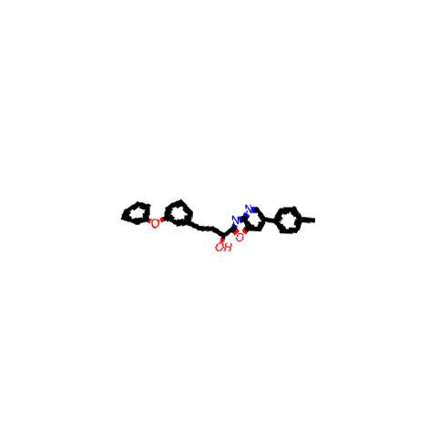 Cc1ccc(-c2cnc3nc(C(O)CCc4cccc(Oc5ccccc5)c4)oc3c2)cc1